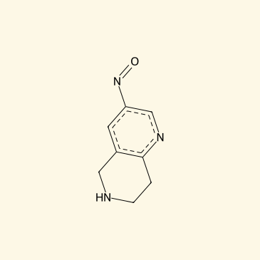 O=Nc1cnc2c(c1)CNCC2